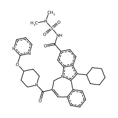 CN(C)S(=O)(=O)NC(=O)c1ccc2c(C3CCCCC3)c3n(c2c1)CC(C(=O)N1CCC(Oc2ncccn2)CC1)=Cc1ccccc1-3